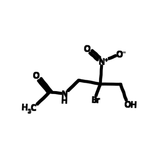 CC(=O)NCC(Br)(CO)[N+](=O)[O-]